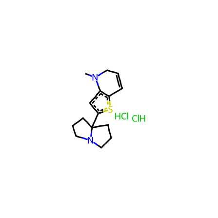 CN1CC=Cc2sc(C34CCCN3CCC4)cc21.Cl.Cl